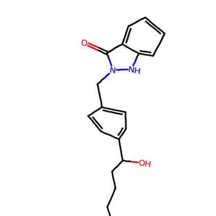 CCCCC(O)c1ccc(Cn2[nH]c3ccccc3c2=O)cc1